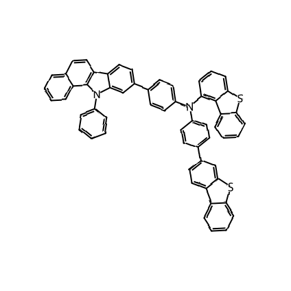 c1ccc(-n2c3cc(-c4ccc(N(c5ccc(-c6ccc7c(c6)sc6ccccc67)cc5)c5cccc6sc7ccccc7c56)cc4)ccc3c3ccc4ccccc4c32)cc1